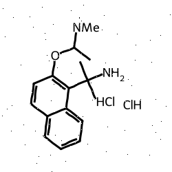 CNC(C)Oc1ccc2ccccc2c1C(C)(C)N.Cl.Cl